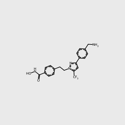 NCc1ccc(-c2cc(C(F)(F)F)n(CCc3ccc(C(=O)NO)cc3)n2)cc1